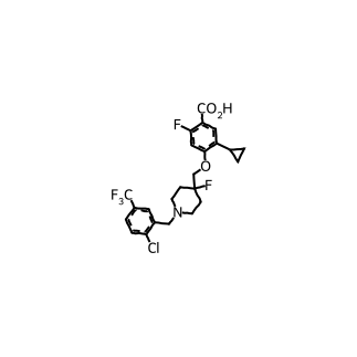 O=C(O)c1cc(C2CC2)c(OCC2(F)CCN(Cc3cc(C(F)(F)F)ccc3Cl)CC2)cc1F